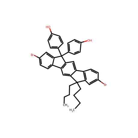 CCCCC1(CCCC)c2cc(Br)ccc2-c2cc3c(cc21)-c1ccc(Br)cc1C3(c1ccc(O)cc1)c1ccc(O)cc1